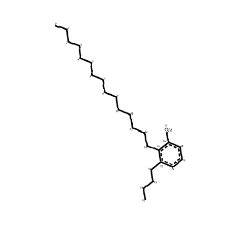 CCCCCCCCCCCCCCCc1c(O)cccc1CCCC